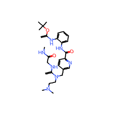 C=C(Nc1ccccc1NC(=O)c1ccc(CN(CCN(C)C)C(=C)NCC(=O)NC)cn1)OC(C)(C)C